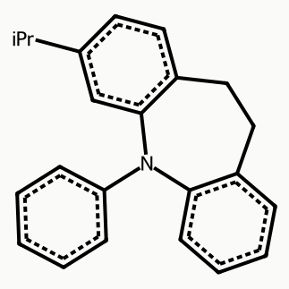 CC(C)c1ccc2c(c1)N(c1ccccc1)c1ccccc1CC2